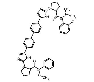 CO[C@@H](C(=O)N1CCC[C@H]1c1ncc(-c2ccc(-c3ccc(-c4cnc([C@@H]5CCCN5C(=O)[C@@H](c5ccccc5Cl)N(C)C)[nH]4)cc3)cc2)[nH]1)c1ccccc1